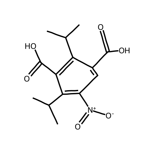 CC(C)c1c(C(=O)O)cc([N+](=O)[O-])c(C(C)C)c1C(=O)O